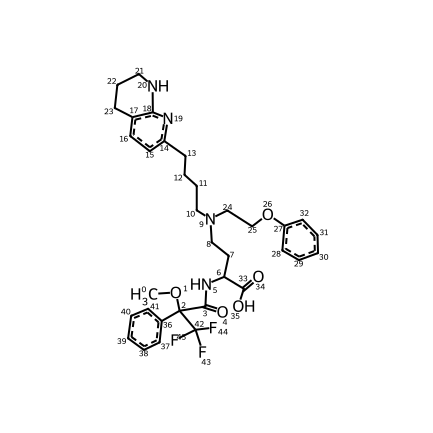 COC(C(=O)NC(CCN(CCCCc1ccc2c(n1)NCCC2)CCOc1ccccc1)C(=O)O)(c1ccccc1)C(F)(F)F